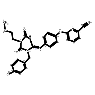 COCCn1c(=O)[nH]/c(=N\c2ccc(Oc3cccc(C#N)n3)cc2)n(Cc2ccc(Cl)cc2)c1=O